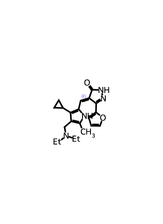 CCN(CC)Cc1c(C)[nH]c(/C=C2/C(=O)NN=C2c2ccco2)c1C1CC1